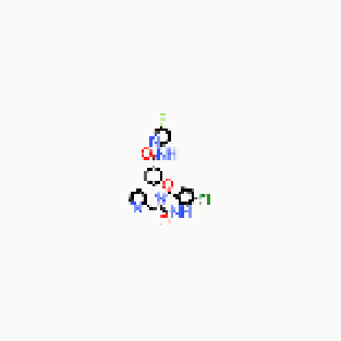 O=C1Nc2cc(Cl)ccc2C(=O)N(C[C@H]2CC[C@H](C(=O)Nc3ccc(F)cn3)CC2)[C@@H]1Cc1ccccn1